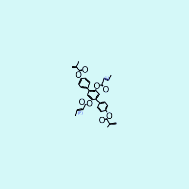 C=C(C)C(=O)Oc1ccc(-c2cc(OC(=O)/C=C/C)c(-c3ccc(OC(=O)C(=C)C)cc3)cc2OC(=O)/C=C/C)cc1